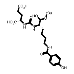 CC(C)(C)OC(O)[C@H](CCCCNC(=O)c1ccc(O)cc1)NC(=O)N[C@@H](CCC(=O)O)C(=O)O